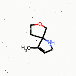 CC1=CCNC12CCOC2